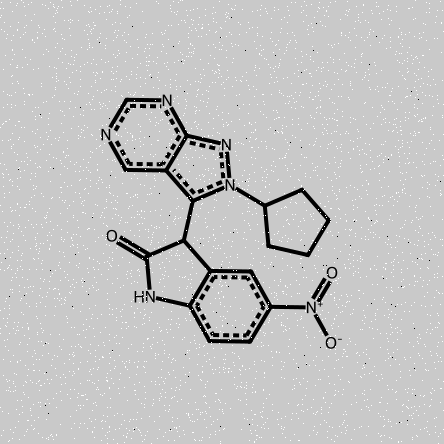 O=C1Nc2ccc([N+](=O)[O-])cc2C1c1c2cncnc2nn1C1CCCC1